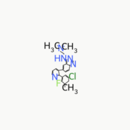 CC1CC(Cl)=CC(c2ncccc2-c2ccc3ncnc(NCCN(C)C)c3c2)=C1F